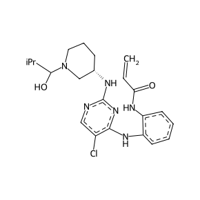 C=CC(=O)Nc1ccccc1Nc1nc(N[C@H]2CCCN(C(O)C(C)C)C2)ncc1Cl